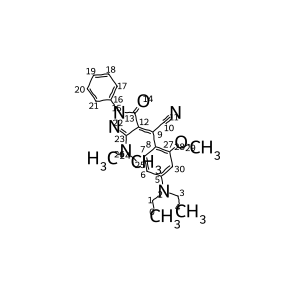 CCN(CC)c1ccc(/C(C#N)=C2/C(=O)N(c3ccccc3)N=C2N(C)C)c(OC)c1